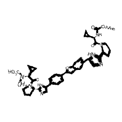 COC(=O)N[C@H](C(=O)N1CCCC1c1ncc(-c2ccc3oc(-c4ccc(-c5cnc([C@@H]6CCCN6C(=O)[C@@H](C6CC6)N(C)C(=O)O)[nH]5)cc4)cc3c2)[nH]1)C1CC1